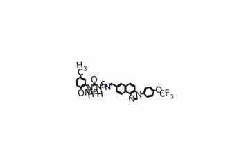 COc1ccc(C)cc1NC(=O)NS/N=C/c1ccc2c(ccc3c2ncn3-c2ccc(OC(F)(F)F)cc2)c1